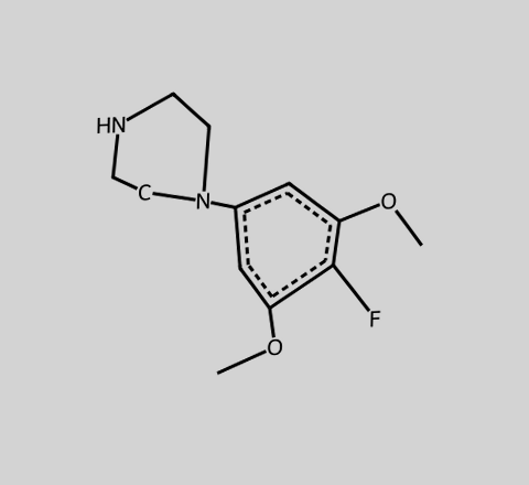 COc1cc(N2CCNCC2)cc(OC)c1F